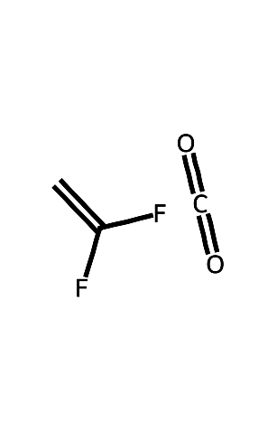 C=C(F)F.O=C=O